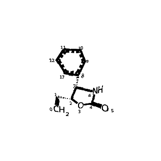 C=C[C@H]1OC(=O)N[C@H]1c1ccccc1